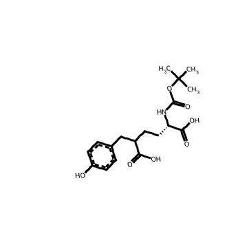 CC(C)(C)OC(=O)N[C@@H](CCC(Cc1ccc(O)cc1)C(=O)O)C(=O)O